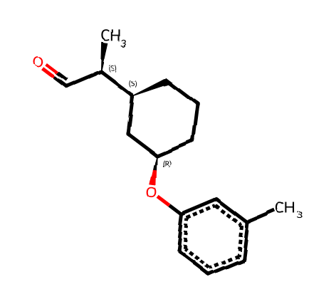 Cc1cccc(O[C@@H]2CCC[C@H]([C@H](C)C=O)C2)c1